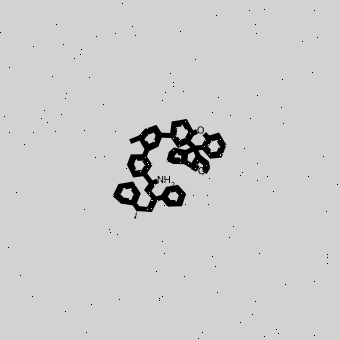 Cc1ccc(-c2ccc3c(c2)C2(c4ccccc4O3)c3ccccc3-c3ccccc32)cc1-c1cccc(/C(N)=C/C(=C\[C@H](C)c2ccccc2)c2ccccc2)c1